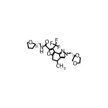 CC1Cc2oc(C(=O)NC[C@@H]3CCCO3)c(C(F)(F)F)c2-c2nn(C[C@H]3COCCO3)cc21